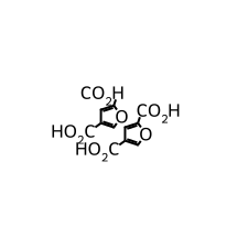 O=C(O)c1coc(C(=O)O)c1.O=C(O)c1coc(C(=O)O)c1